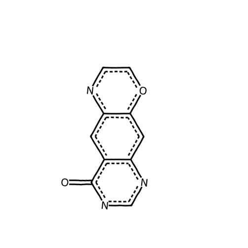 O=c1ncnc2cc3occnc3cc12